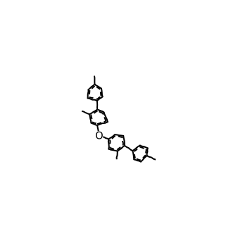 Cc1ccc(-c2ccc(Oc3ccc(-c4ccc(C)cc4)c(C)c3)cc2C)cc1